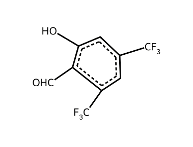 O=Cc1c(O)cc(C(F)(F)F)cc1C(F)(F)F